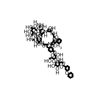 CC(c1ccccc1)C1NC(=O)CNC(=O)C(CO)NC(=O)C(C(O)C2CNC(=N)N2C2OC(CO)C(O)C(O)C2O)NC(=O)C(C(O)C2CNC(=N)N2)NC(=O)C(Cc2ccc(OC3OC(CO)C(OC4OC5COC(c6cccc(Oc7ccccc7)c6)OC5C(O)C4O)C(O)C3O)cc2)NC1=O